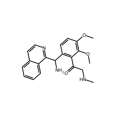 CNCC(=O)c1c(C(N)c2nccc3ccccc23)ccc(OC)c1OC